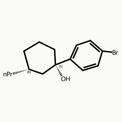 CCC[C@@H]1CCC[C@@](O)(c2ccc(Br)cc2)C1